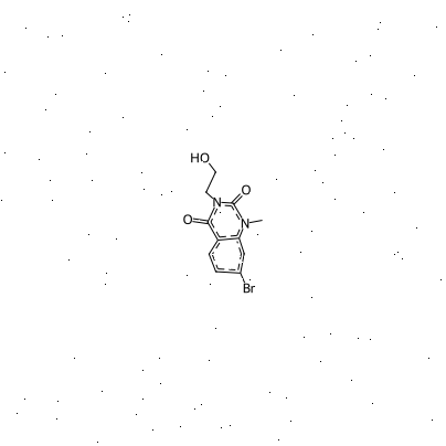 Cn1c(=O)n(CCO)c(=O)c2ccc(Br)cc21